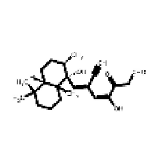 C#CC(=C\[C@]1(O)[C@H](C)CC[C@H]2C(C)(C)CCCC21C)/C=C(/O)C(=O)CC=O